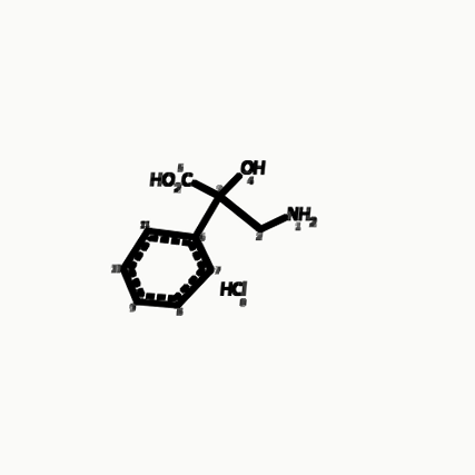 Cl.NCC(O)(C(=O)O)c1ccccc1